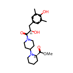 COC(=O)[C@H]1CCCCN1C1CCN(C(=O)[C@H](O)Cc2cc(C)c(O)c(C)c2)CC1